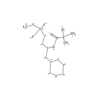 CCC(C)(C)C(=O)OC(CCC(F)(F)CC(F)(F)F)CC1CCCCC1